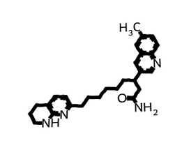 Cc1ccc2ncc(C(CCCCCCc3ccc4c(n3)NCCC4)CC(N)=O)cc2c1